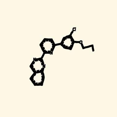 CCCOc1ccc(-c2cccc(-c3ncc4ccccc4n3)n2)cc1Cl